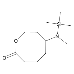 CN(C1CCCC(=O)OCC1)[Si](C)(C)C